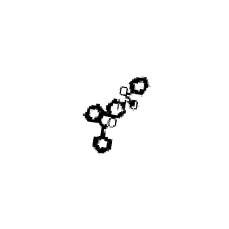 O=S(=O)(c1ccccc1)N1CCC2(CC1)OC(c1ccccc1)c1ccccc12